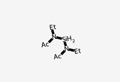 CCN([SiH2]N(CC)C(C)=O)C(C)=O